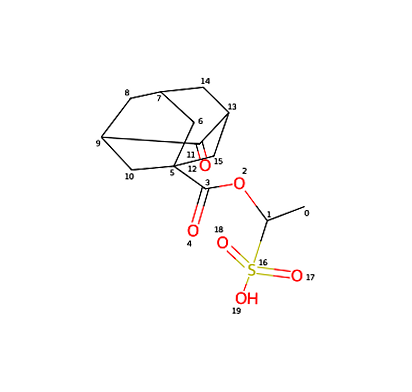 CC(OC(=O)C12CC3CC(C1)C(=O)C(C3)C2)S(=O)(=O)O